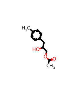 CC(=O)OCC(O)Cc1ccc(C)cc1